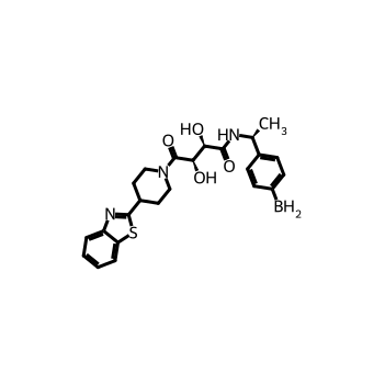 Bc1ccc([C@H](C)NC(=O)[C@H](O)[C@@H](O)C(=O)N2CCC(c3nc4ccccc4s3)CC2)cc1